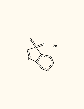 S=S1(=S)C=Nc2ccccc21.[Zn]